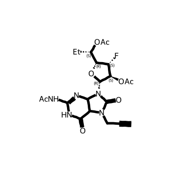 C#CCN1C(=O)N([C@@H]2O[C@H]([C@H](CC)OC(C)=O)[C@H](F)[C@H]2OC(C)=O)C2N=C(NC(C)=O)NC(=O)C21